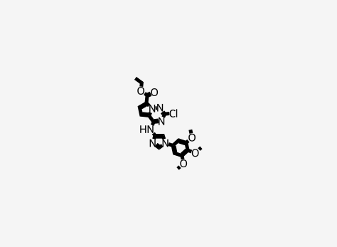 CCOC(=O)c1ccc2c(Nc3cn(-c4cc(OC)c(OC)c(OC)c4)cn3)nc(Cl)nn12